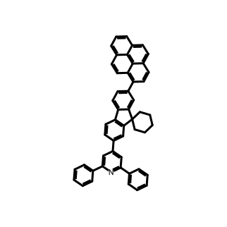 c1ccc(-c2cc(-c3ccc4c(c3)C3(CCCCC3)c3cc(-c5ccc6ccc7cccc8ccc5c6c78)ccc3-4)cc(-c3ccccc3)n2)cc1